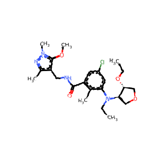 CCO[C@@H]1COC[C@H]1N(CC)c1cc(Cl)cc(C(=O)NCc2c(C)nn(C)c2OC)c1C